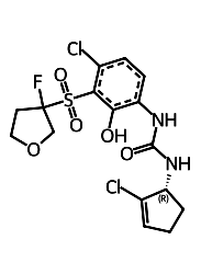 O=C(Nc1ccc(Cl)c(S(=O)(=O)C2(F)CCOC2)c1O)N[C@@H]1CCC=C1Cl